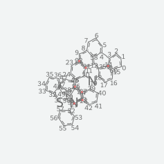 c1ccc(-c2cccc3cccc(-c4ccccc4N(c4ccccc4-c4cccc5sc6ccccc6c45)c4cccc5c4c4ccccc4n5-c4ccccc4)c23)cc1